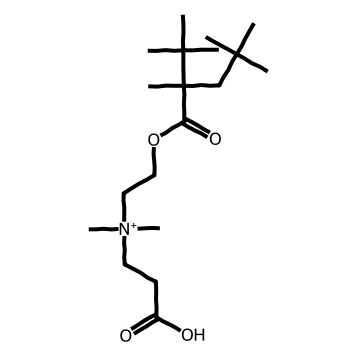 CC(C)(C)CC(C)(C(=O)OCC[N+](C)(C)CCC(=O)O)C(C)(C)C